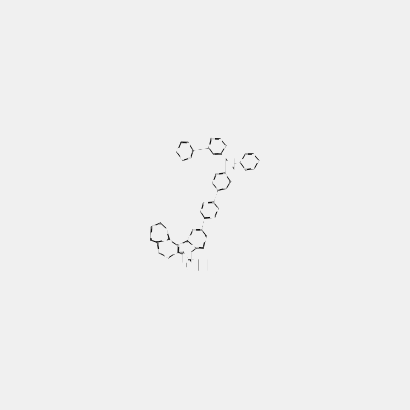 Cn1c2ccc(-c3ccc(-c4ccc(N(c5ccccc5)c5cccc(-c6ccccc6)c5)cc4)cc3)cc2c2c3ccccc3ccc21